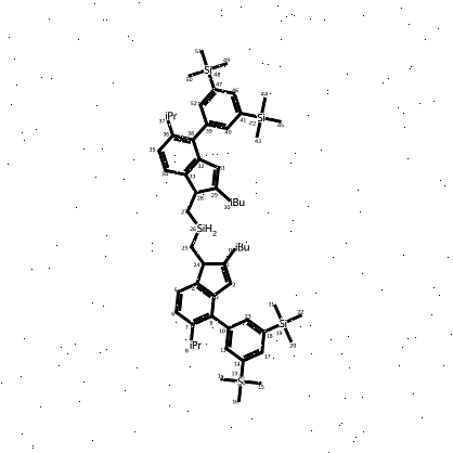 CCC(C)C1=Cc2c(ccc(C(C)C)c2-c2cc([Si](C)(C)C)cc([Si](C)(C)C)c2)C1C[SiH2]CC1C(C(C)CC)=Cc2c1ccc(C(C)C)c2-c1cc([Si](C)(C)C)cc([Si](C)(C)C)c1